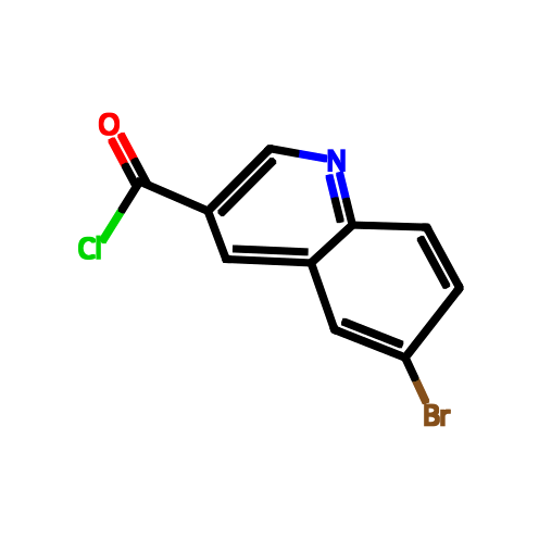 O=C(Cl)c1cnc2ccc(Br)cc2c1